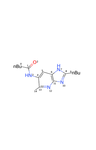 CCCCC(=O)Nc1cc2[nH]c(CCCC)nc2nc1C